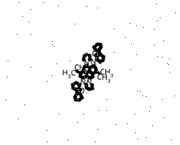 CC(C)c1cc(N(c2ccccn2)c2cccc3c2oc2ccccc23)c2ccc3c(C(C)C)cc(N(c4ccccn4)c4cccc5c4oc4ccccc45)c4ccc1c2c34